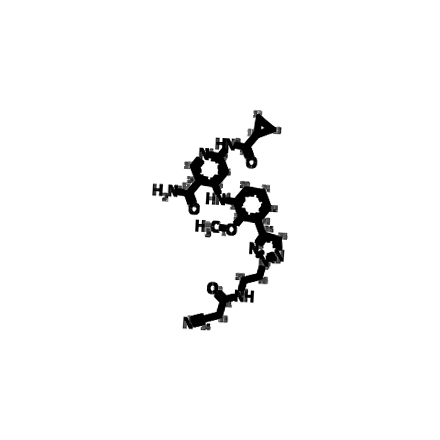 COc1c(Nc2cc(NC(=O)C3CC3)ncc2C(N)=O)cccc1-c1cnn(CCNC(=O)CC#N)n1